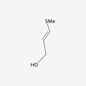 CSC=CCO